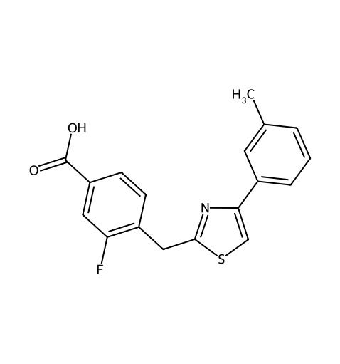 Cc1cccc(-c2csc(Cc3ccc(C(=O)O)cc3F)n2)c1